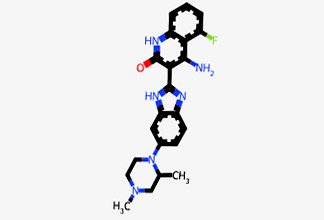 CC1CN(C)CCN1c1ccc2nc(-c3c(N)c4c(F)cccc4[nH]c3=O)[nH]c2c1